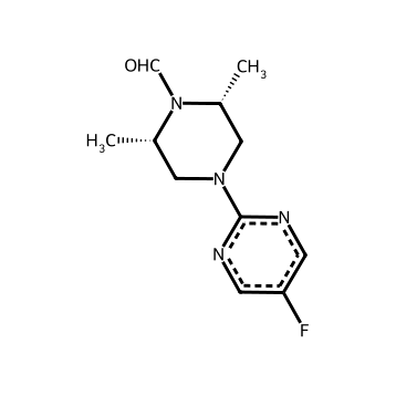 C[C@@H]1CN(c2ncc(F)cn2)C[C@H](C)N1C=O